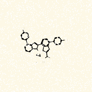 Cc1ccc(-c2cccc3c2C=C(C(C)C)[CH]3[Ti+2]2([CH]3C(C(C)C)=Cc4c(-c5ccc(C)cc5)cccc43)[CH2][CH2]2)cc1.[Cl-].[Cl-]